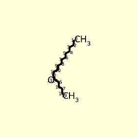 CCCCCCCCCC=CCC1OC1CCCCC